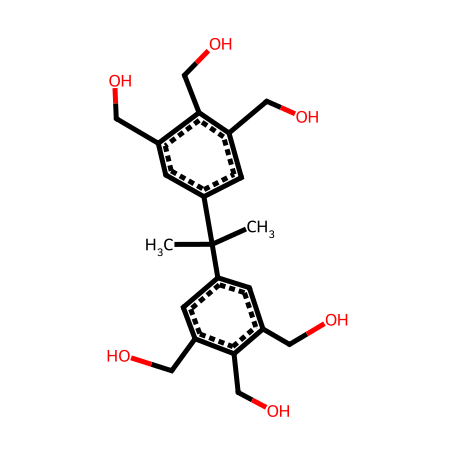 CC(C)(c1cc(CO)c(CO)c(CO)c1)c1cc(CO)c(CO)c(CO)c1